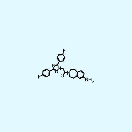 Nc1ccc2c(c1)CCN(C(=O)Cn1nc(-c3ccc(F)cc3)nc1-c1ccc(F)cc1)CC2